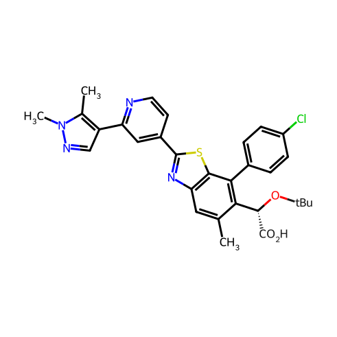 Cc1cc2nc(-c3ccnc(-c4cnn(C)c4C)c3)sc2c(-c2ccc(Cl)cc2)c1[C@H](OC(C)(C)C)C(=O)O